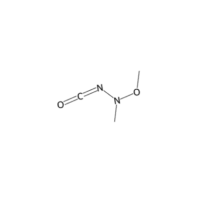 CON(C)N=C=O